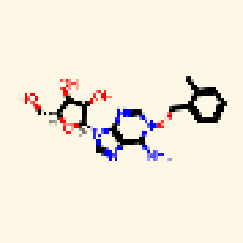 Cc1ccccc1CON1C=Nc2c(ncn2[C@@H]2O[C@H](CO)C(O)C2O)C1N